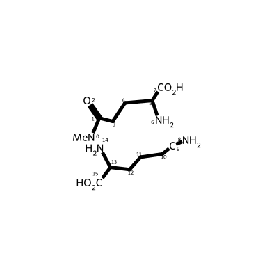 CNC(=O)CCC(N)C(=O)O.NCCCCC(N)C(=O)O